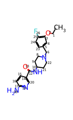 CCOc1cc(CN2CCC(NC(=O)c3ccc(N)nc3)CC2)ccc1F